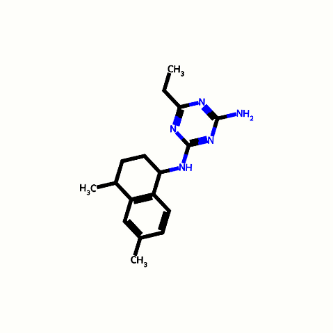 CCc1nc(N)nc(NC2CCC(C)c3cc(C)ccc32)n1